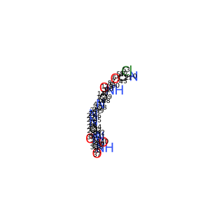 N#Cc1ccc(O[C@H]2C[C@H](NC(=O)c3ccc(N4CCC(CN5CCN(c6ccc7c(=O)n(C8CCC(=O)NC8=O)ncc7c6)CC5)C4)cc3)C2)cc1Cl